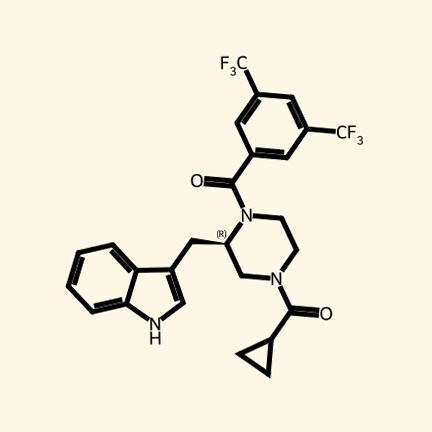 O=C(C1CC1)N1CCN(C(=O)c2cc(C(F)(F)F)cc(C(F)(F)F)c2)[C@H](Cc2c[nH]c3ccccc23)C1